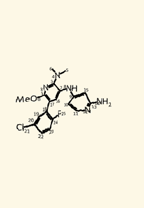 COc1nc(N(C)C)c(Nc2ccnc(N)c2)cc1-c1cc(Cl)ccc1F